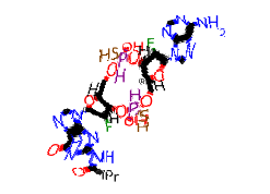 CC(C)C(=O)Nc1nc2c(ncn2[C@@H]2O[C@@H]3CO[PH](O)(S)O[C@H]4[C@@H](F)[C@H](n5cnc6c(N)ncnc65)O[C@@H]4CO[PH](O)(S)O[C@H]3[C@H]2F)c(=O)[nH]1